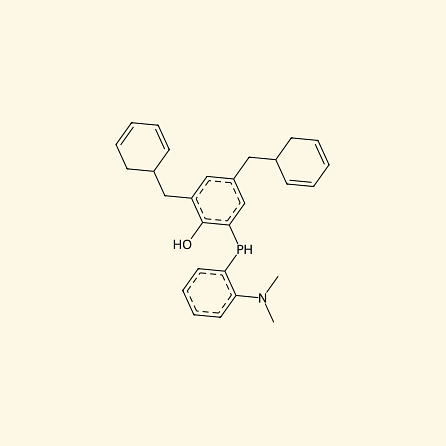 CN(C)c1ccccc1Pc1cc(CC2C=CC=CC2)cc(CC2C=CC=CC2)c1O